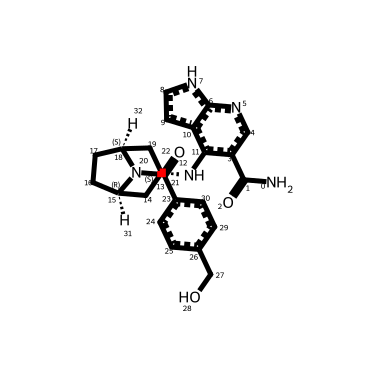 NC(=O)c1cnc2[nH]ccc2c1N[C@@H]1C[C@H]2CC[C@@H](C1)N2C(=O)c1ccc(CO)cc1